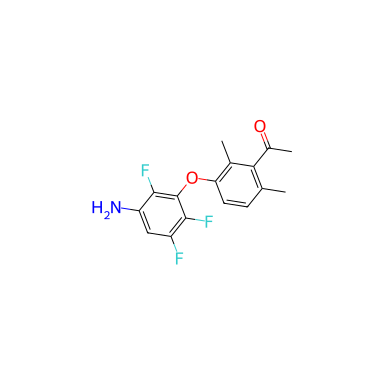 CC(=O)c1c(C)ccc(Oc2c(F)c(N)cc(F)c2F)c1C